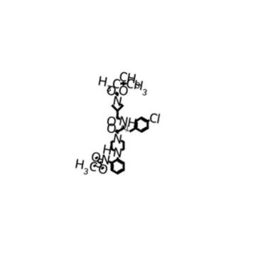 CC(C)(C)OC(=O)N1CC(C(=O)N[C@H](Cc2ccc(Cl)cc2)C(=O)N2CCN(c3ccccc3NS(C)(=O)=O)CC2)C1